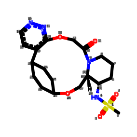 CS(=O)(=O)N[C@H]1CCCN2C(=O)COc3nnccc3C3CCC(CC3)OC[C@@H]12